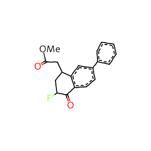 COC(=O)CC1CC(F)C(=O)c2ccc(-c3ccccc3)cc21